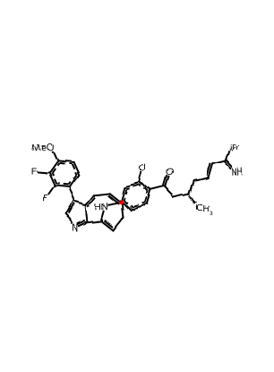 COc1ccc(C2=CN=C3/C(Nc4ccc(C(=O)C[C@H](C)C/C=C/C(=N)C(C)C)c(Cl)c4)=C/C/C=C\C=C\23)c(F)c1F